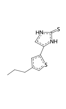 CCCc1csc(-c2c[nH]c(=S)[nH]2)c1